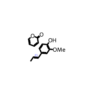 C/C=C/c1ccc(O)c(OC)c1.O=c1cccco1